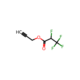 C#CCOC(=O)C(F)C(F)(F)F